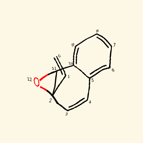 C=CC12C=Cc3ccccc3C1O2